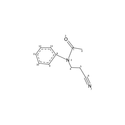 CC(=O)N(CCC#N)c1ccccc1